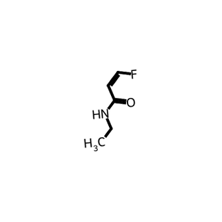 CCNC(=O)/C=C\F